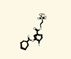 O=C(OCCS(=O)(=O)O)c1ccc(I)c(OC(=O)C2CCCCC2)c1